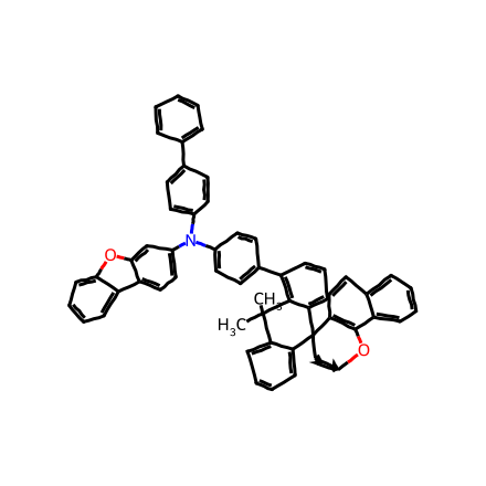 CC1(C)c2ccccc2C2(c3ccccc3Oc3c2ccc2ccccc32)c2cccc(-c3ccc(N(c4ccc(-c5ccccc5)cc4)c4ccc5c(c4)oc4ccccc45)cc3)c21